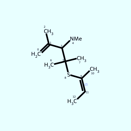 C=C(C)C(NC)C(C)(C)S/C(C)=C\C